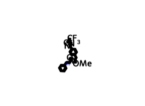 CON(Cc1ccc(-c2noc(C(F)(F)F)n2)cc1)C(=O)/C=C/c1ccccc1